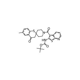 Cc1ccc2c(c1)C(=O)CC1(CCN(C(=O)c3c(NC(=O)OC(C)(C)C)sc4ncccc34)CC1)S2